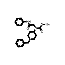 CC(C)(C)OC(=O)N(CC(=O)Nc1ccccc1)C1CCN(Cc2ccccc2)CC1